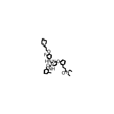 CCN(CC)C(=O)CCc1cccc(OC2=NC(Nc3ccc(OCCCN4CCN(C)CC4)c(F)c3)N(C(=O)Nc3c(C)cccc3C)C=C2)c1